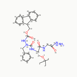 CC(C)(C)OC[C@H](NC(=O)N(Cc1ccccc1)NC(=O)OCC1c2ccccc2-c2ccccc21)C(=O)NCC(=O)NN